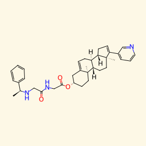 C[C@H](NCC(=O)NCC(=O)O[C@H]1CC[C@@]2(C)C(=CC[C@@H]3[C@@H]2CC[C@]2(C)C(c4cccnc4)=CC[C@@H]32)C1)c1ccccc1